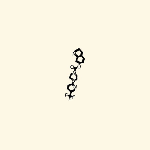 O=C(Oc1ccc2cccnc2c1)N1CCN(c2ccc(C(F)(F)F)cn2)CC1